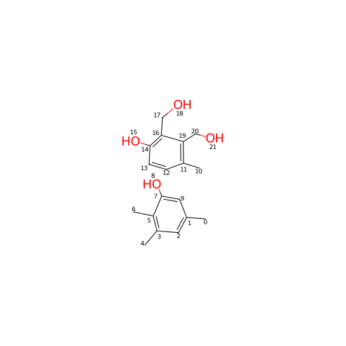 Cc1cc(C)c(C)c(O)c1.Cc1ccc(O)c(CO)c1CO